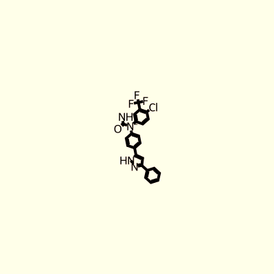 NC(=O)N(c1ccc(-c2cc(-c3ccccc3)n[nH]2)cc1)c1ccc(Cl)c(C(F)(F)F)c1